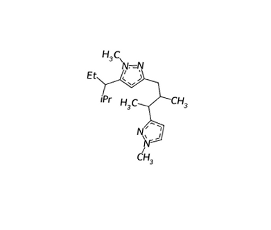 CCC(c1cc(CC(C)C(C)c2ccn(C)n2)nn1C)C(C)C